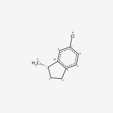 C[C@H]1CCc2ccc(Cl)cc21